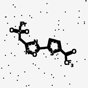 CC(C)S(=O)(=O)Cc1noc(-c2ccc(C(=O)C(F)(F)F)s2)n1